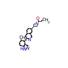 C=CC(=O)N1CC(c2ccc3cc(-c4c(C)ccc5[nH]ncc45)ncc3c2)C1